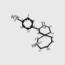 Nc1ccc(C2CC3(CCCCNC3)CCN2)cc1